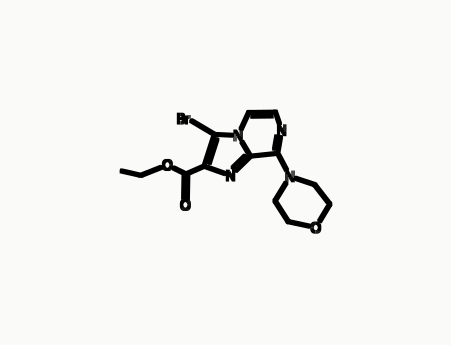 CCOC(=O)c1nc2c(N3CCOCC3)nccn2c1Br